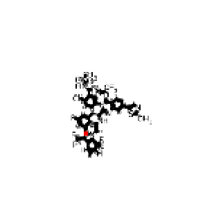 Cc1ncc(-c2ccc3c(=O)n(-c4ccc(Cl)c5c(NS(C)(=O)=O)nn(CC(F)(F)F)c45)c([C@H](Cc4cc(F)cc(F)c4)NC(=O)Cn4nc(C(F)F)c5c4C(F)(F)[C@@H]4C[C@H]54)nc3c2)s1